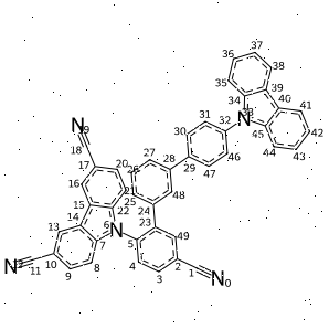 N#Cc1ccc(-n2c3ccc(C#N)cc3c3cc(C#N)ccc32)c(-c2cccc(-c3ccc(-n4c5ccccc5c5ccccc54)cc3)c2)c1